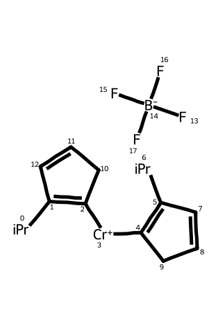 CC(C)C1=[C]([Cr+][C]2=C(C(C)C)C=CC2)CC=C1.F[B-](F)(F)F